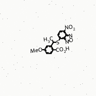 COc1ccc(C(=O)O)c(C(C)Sc2ccc([N+](=O)[O-])c3nonc23)c1